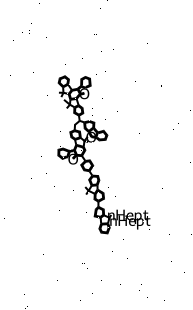 CCCCCCCC1(CCCCCCC)c2ccccc2-c2ccc(-c3ccc4c(c3)C(C)(C)c3cc(-c5ccc(-c6cc7c(c8c6oc6ccccc68)-c6ccc(CC(c8ccc9c(c8)C(C)(C)c8c%10c(c%11c(oc%12ccccc%12%11)c8-9)-c8ccccc8C%10(C)C)c8ccc9c(c8)oc8ccccc89)cc6C7(C)C)cc5)ccc3-4)cc21